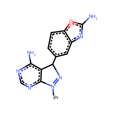 CC(C)[N+]1=NC(c2ccc3oc(N)nc3c2)c2c(N)ncnc21